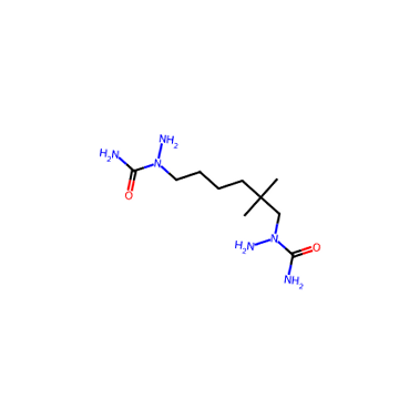 CC(C)(CCCCN(N)C(N)=O)CN(N)C(N)=O